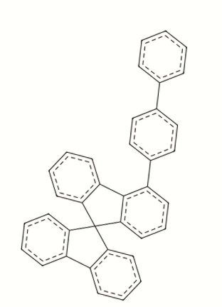 c1ccc(-c2ccc(-c3cccc4c3-c3ccccc3C43c4ccccc4-c4ccccc43)cc2)cc1